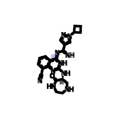 N#Cc1cccc2/c(=N/C(=N)c3cnn(C4CCC4)c3)[nH]c(N[C@@H]3CNCCNC3=O)nc12